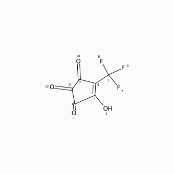 O=c1c(O)c(C(F)(F)F)c(=O)c1=O